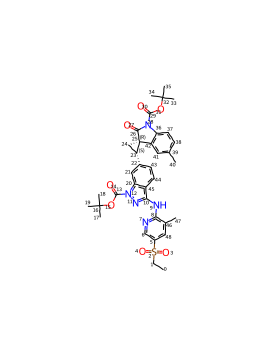 CCS(=O)(=O)c1cnc(Nc2nn(C(=O)OC(C)(C)C)c3cc([C@@H]4C[C@@]45C(=O)N(C(=O)OC(C)(C)C)c4ccc(C)cc45)ccc23)c(C)c1